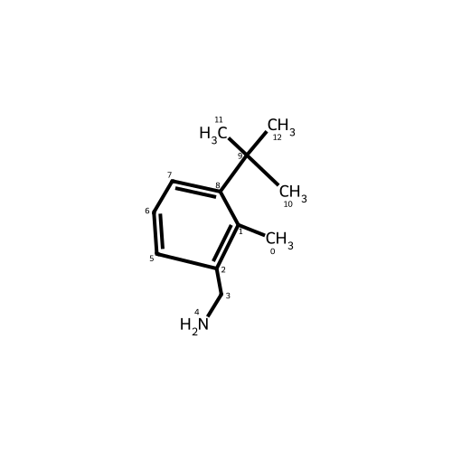 Cc1c(CN)cccc1C(C)(C)C